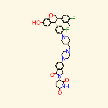 Cc1cc(C2COc3cc(O)ccc3[C@H]2c2ccc(N3CCC(CN4CCN(c5ccc6c(c5)CN([C@H]5CCC(=O)NC5=O)C6=O)CC4)CC3)c(F)c2)ccc1F